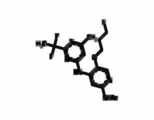 CC(=O)Nc1cc(Nc2cc(C)nc(C(C)(F)F)n2)c(OCCCF)cn1